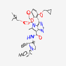 Cc1c(C(=O)N[C@@H]2CCN(C(=O)O)C2C(C)(C)C)c2ncnc(-c3c(OCC4CC4)ccc4c3OCO4)c2n1COCC[Si](C)(C)C